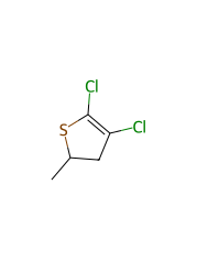 CC1CC(Cl)=C(Cl)S1